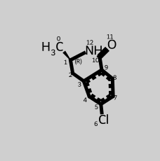 C[C@@H]1Cc2cc(Cl)ccc2C(=O)N1